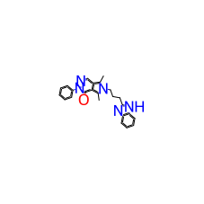 Cc1c2cnn(-c3ccccc3)c(=O)c2c(C)n1CCCc1nc2ccccc2[nH]1